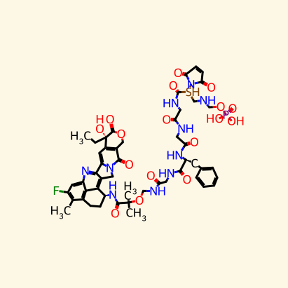 CC[C@@]1(O)C(=O)OCc2c1cc1n(c2=O)Cc2c-1nc1cc(F)c(C)c3c1c2[C@@H](NC(=O)C(C)(C)OCNC(=O)CNC(=O)[C@H](Cc1ccccc1)NC(=O)CNC(=O)CNC(=O)[SH](CNCOP(=O)(O)O)N1C(=O)C=CC1=O)CC3